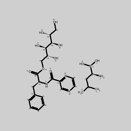 CC(C)C[C@H](N)B(O)O.O=C(N[C@@H](Cc1ccccc1)C(=O)OC[C@@H](O)[C@@H](O)[C@H](O)[C@H](O)CO)c1cnccn1